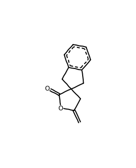 C=C1CC2(Cc3ccccc3C2)C(=O)O1